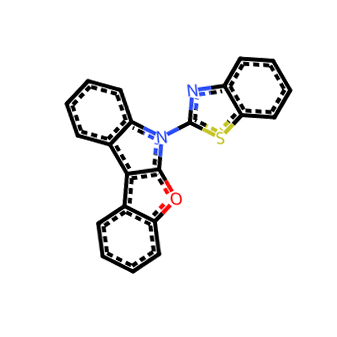 c1ccc2sc(-n3c4ccccc4c4c5ccccc5oc43)nc2c1